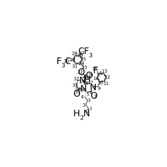 NCCCC[C@H]1C(=O)N(Cc2cccc(F)c2)C[C@@H]2N(C(=O)OCc3cc(C(F)(F)F)cc(C(F)(F)F)c3)CCC(=O)N21